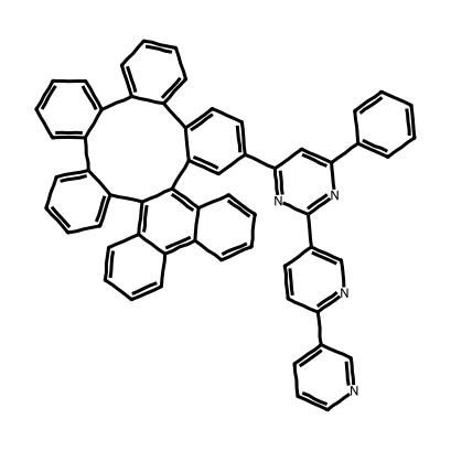 c1ccc(-c2cc(-c3ccc4c5ccccc5c5ccccc5c5ccccc5c5c6ccccc6c6ccccc6c5c4c3)nc(-c3ccc(-c4cccnc4)nc3)n2)cc1